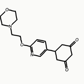 O=C1CC(=O)CC(c2ccc(OCCN3CCOCC3)nc2)C1